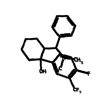 CN(C)C(c1ccccc1)C1CCCCC1(O)c1ccc(F)c(C(F)(F)F)c1